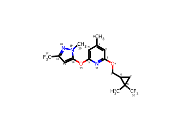 Cc1cc(OCC2CC2(C)C(F)(F)F)nc(Oc2cc(C(F)(F)F)nn2C)c1